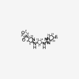 O=C1COCCN1c1ccc(N[C@H]2CC[C@H](Nc3nc4cc(F)ccn4n3)C2)nc1